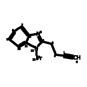 C#CCCc1nc2ccccc2n1C(C)C